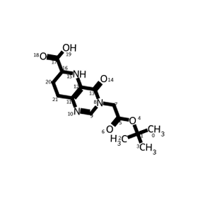 CC(C)(C)OC(=O)Cn1cnc2c(c1=O)NC(C(=O)O)CC2